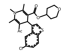 CC(=O)C1=C(C)N(C)C(C)=C(C(=O)OC2CCOCC2)C1c1csc2ccc(Cl)cc12